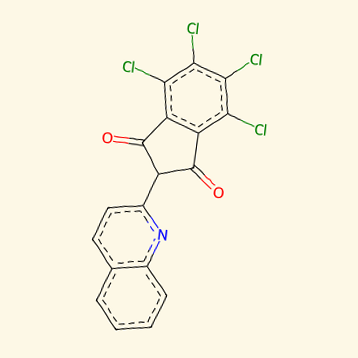 O=C1c2c(Cl)c(Cl)c(Cl)c(Cl)c2C(=O)C1c1ccc2ccccc2n1